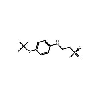 O=S(=O)(F)CCNc1ccc(OC(F)(F)F)cc1